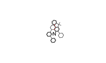 CN(c1cc2c(cc1C1CCCCC1)C(C)(C)c1ccccc1-2)c1c(-c2ccccc2)cccc1C1CCCCC1